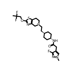 Cn1cc(CC(=O)N[C@H]2CC[C@H](CCN3CCc4sc(OCC(C)(F)F)nc4C3)CC2)c(F)n1